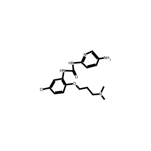 CN(C)CCCOc1ccc(Cl)cc1NC(=O)Nc1ccc(N)cn1